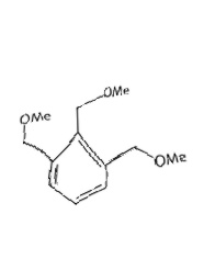 COCc1cccc(COC)c1COC